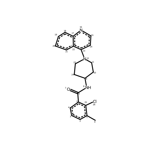 Cc1cccc(C(=O)NC2CCN(c3ccnc4ccccc34)CC2)c1Cl